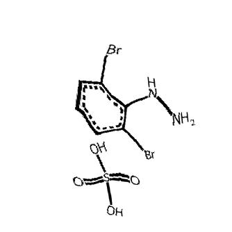 NNc1c(Br)cccc1Br.O=S(=O)(O)O